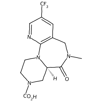 CN1Cc2cc(C(F)(F)F)cnc2N2CCN(C(=O)O)C[C@@H]2C1=O